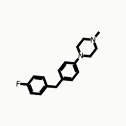 CN1CCN(c2ccc(Cc3ccc(F)cc3)cc2)CC1